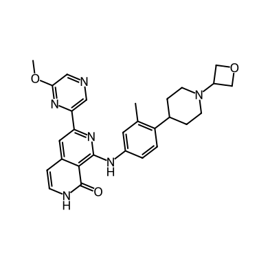 COc1cncc(-c2cc3cc[nH]c(=O)c3c(Nc3ccc(C4CCN(C5COC5)CC4)c(C)c3)n2)n1